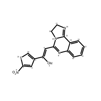 O=[N+]([O-])c1cc(/C(O)=C/C2=Nc3ccccc3C3=NCCN23)cs1